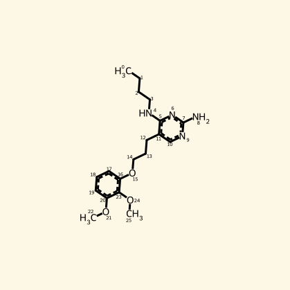 CCCCNc1nc(N)ncc1CCCOc1cccc(OC)c1OC